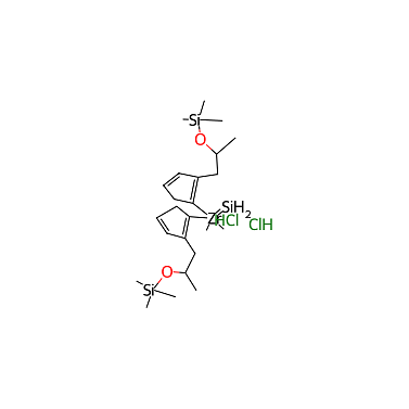 CC(CC1=[C]([Zr]([CH3])([CH3])(=[SiH2])[C]2=C(CC(C)O[Si](C)(C)C)C=CC2)CC=C1)O[Si](C)(C)C.Cl.Cl